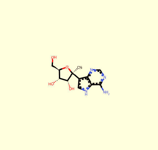 N#C[C@@]1(c2c[nH]c3c(N)ncnc23)O[C@H](CO)[C@@H](O)[C@H]1O